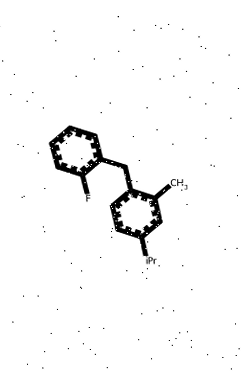 Cc1cc(C(C)C)ccc1Cc1ccccc1F